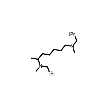 CC(C)CN(C)CCCCCC(C)N(C)CC(C)C